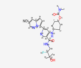 CN(C)C(=O)OC1CCC(Nc2cc(-c3ccc4cc(C#N)cnn34)ncc2C(=O)NCC(F)C(C)(C)O)CC1